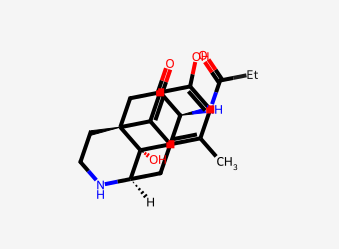 CCC(=O)N[C@H]1C[C@@]2(O)[C@H]3Cc4c(C)cc(O)cc4[C@@]2(CCN3)CC1=O